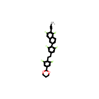 Fc1cc2cc(-c3c(F)cc(CCc4c(F)cc(C5OCCCO5)cc4F)cc3F)ccc2c(F)c1C#CC(F)(F)F